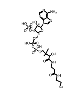 CC(C)(COP(=O)(O)OP(=O)(O)OC[C@H]1OC(n2cnc3c(N)ncnc32)[C@H](O)[C@@H]1OP(=O)(O)O)C(O)C(=O)NCCC(=O)NCCS